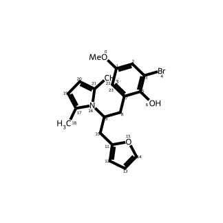 COc1cc(Br)c(O)c(CC(Cc2ccco2)n2c(C)ccc2C)c1